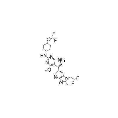 COc1nc(NC2CCC(OC(F)F)CC2)nc2[nH]cc(-c3cnc4nc(C)n(CC(F)F)c4c3)c12